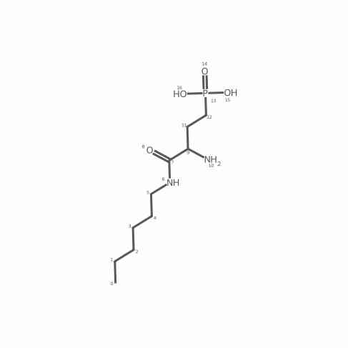 CCCCCCNC(=O)C(N)CCP(=O)(O)O